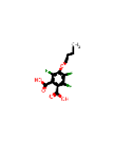 CCCCOc1c(F)c(F)c(C(=O)O)c(C(=O)O)c1F